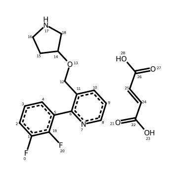 Fc1cccc(-c2ncccc2COC2CCNC2)c1F.O=C(O)C=CC(=O)O